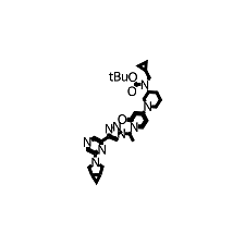 CC(n1cc(-c2cncc(N3CC4CC4C3)n2)nn1)n1ccc(N2CCC[C@@H](N(CC3CC3)C(=O)OC(C)(C)C)C2)cc1=O